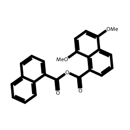 COc1ccc(OC)c2c(C(=O)OC(=O)c3cccc4ccccc34)cccc12